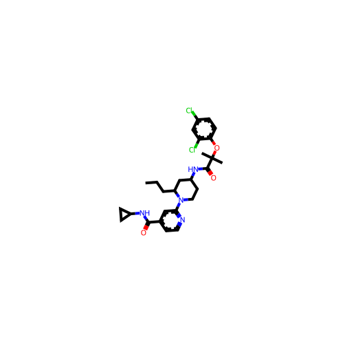 CCCC1CC(NC(=O)C(C)(C)Oc2ccc(Cl)cc2Cl)CCN1c1cc(C(=O)NC2CC2)ccn1